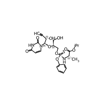 C#C[C@H](O)[C@@H](O[C@@H](CO)CO[P@@](=S)(N[C@@H](C)C(=O)OC(C)C)Oc1ccccc1)n1ccc(=O)[nH]c1=O